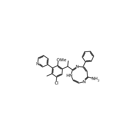 COc1c(C(C)c2nc(-c3ccccc3)cc(N)ncc[nH]2)cc(Cl)c(C)c1-c1cccnc1